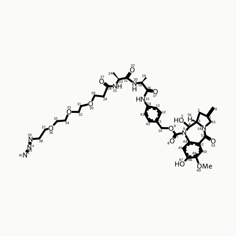 C=C1C[C@H]2C(O)N(C(=O)OCc3ccc(NC(=O)[C@H](C)NC(=O)[C@H](C)NC(=O)CCOCCOCCOCCN=[N+]=[N-])cc3)c3cc(O)c(OC)cc3C(=O)N2C1